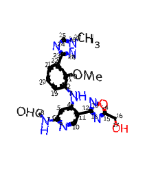 COc1c(Nc2cc(NC=O)ncc2-c2noc(CO)n2)cccc1-c1ncn(C)n1